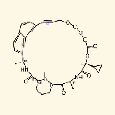 C[C@@H]1NC(=O)[C@H](C2CC2)OC(=O)COCOC/C=C/c2ccc3ccc(nc3c2)[C@@H](C)NC(=O)[C@@H]2CCCN(N2)C1=O